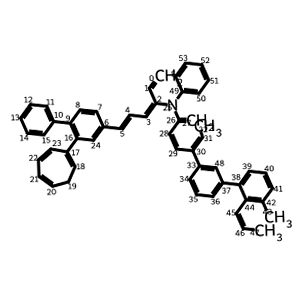 C=C/C(=C\C=C\c1ccc(-c2ccccc2)c(C2=CCC=CC=C2)c1)N(C(=C)/C=C\C(=C/C)c1cccc(-c2cccc(C)c2/C=C\C)c1)c1ccccc1